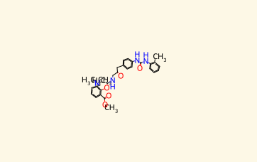 COC(=O)c1cccc(N(C)C)c1OC(C)NCC(=O)Cc1ccc(NC(=O)Nc2ccccc2C)cc1